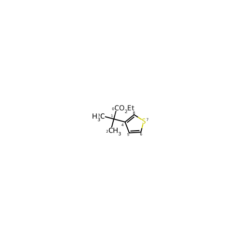 CCOC(=O)C(C)(C)c1ccsc1